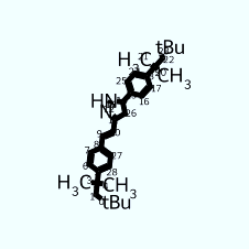 CC(C)(C)CC(C)(C)c1ccc(C=CC2=NNC(c3ccc(C(C)(C)CC(C)(C)C)cc3)C2)cc1